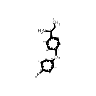 CCC(N)c1ccc(Oc2ccc(F)cc2)cc1